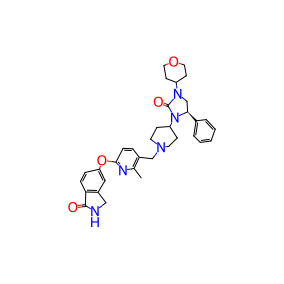 Cc1nc(Oc2ccc3c(c2)CNC3=O)ccc1CN1CCC(N2C(=O)N(C3CCOCC3)C[C@H]2c2ccccc2)CC1